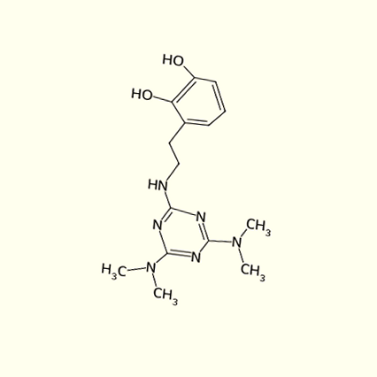 CN(C)c1nc(NCCc2cccc(O)c2O)nc(N(C)C)n1